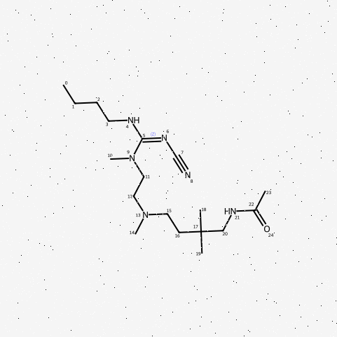 CCCCN/C(=N/C#N)N(C)CCN(C)CCC(C)(C)CNC(C)=O